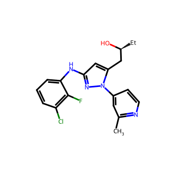 CC[C@H](O)Cc1cc(Nc2cccc(Cl)c2F)nn1-c1ccnc(C)c1